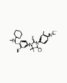 [C-]#[N+]c1ccc(N2C(=O)C(C)(C)N(c3ccc(CN(C)C4CCCCC4)c(F)c3)C2=S)cc1C